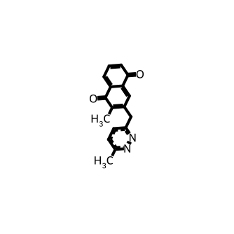 CC1=C(Cc2ccc(C)nn2)C=C2C(=O)C=CC=C2C1=O